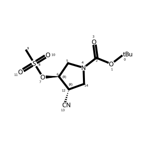 CC(C)(C)OC(=O)N1C[C@H](OS(C)(=O)=O)[C@@H](C#N)C1